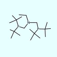 CCN(CP(C(C)(C)C)C(C)(C)C)CP(C(C)(C)C)C(C)(C)C